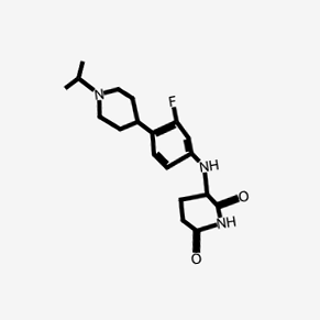 CC(C)N1CCC(c2ccc(NC3CCC(=O)NC3=O)cc2F)CC1